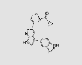 O=C(C1CC1)N1CCC=C(c2cnc3[nH]cc(-c4ccc5[nH]cnc5c4)c3c2)C1